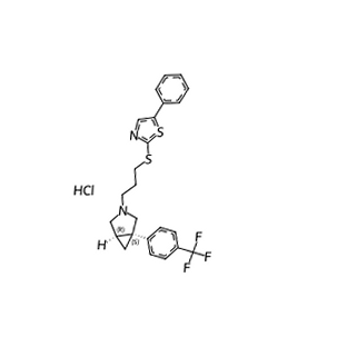 Cl.FC(F)(F)c1ccc([C@]23C[C@H]2CN(CCCSc2ncc(-c4ccccc4)s2)C3)cc1